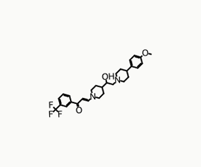 COc1ccc(C2CCN(CC(O)C3CCN(C=CC(=O)c4cccc(C(F)(F)F)c4)CC3)CC2)cc1